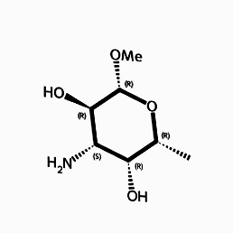 CO[C@@H]1O[C@H](C)[C@H](O)[C@H](N)[C@H]1O